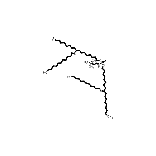 CCCCCCCCCC(CCCCCCCCOP(=O)(NCC[N+](C)(C)C)OCCCCCCCCC(CCCCCCCCC)SCCCCCCCCCCCO)SCCCCCCCCCCCO